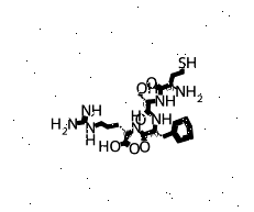 N=C(N)NCCC[C@H](NC(=O)[C@@H](Cc1ccccc1)NC(=O)[C@H](CO)NC(=O)[C@@H](N)CCS)C(=O)O